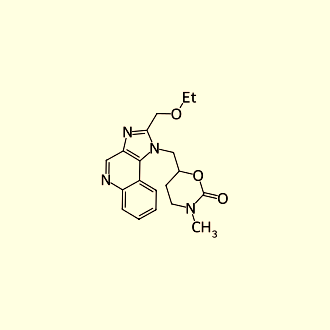 CCOCc1nc2cnc3ccccc3c2n1CC1CCN(C)C(=O)O1